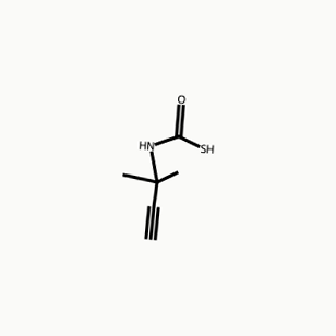 C#CC(C)(C)NC(=O)S